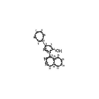 Oc1cc(-c2ccccc2)nn1-c1nncc2ccccc12